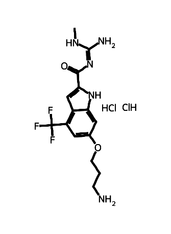 CNC(N)=NC(=O)c1cc2c(C(F)(F)F)cc(OCCCN)cc2[nH]1.Cl.Cl